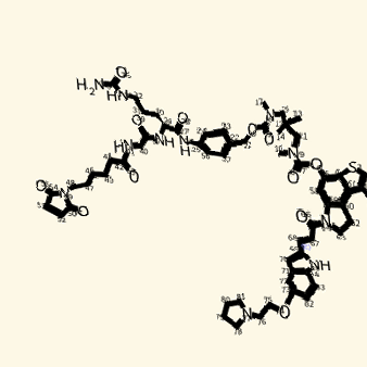 Cc1csc2c(OC(=O)N(C)CC(C)(C)CN(C)C(=O)OCc3ccc(NC(=O)[C@H](CCCNC(N)=O)NC(=O)CNC(=O)CCCCCN4C(=O)C=CC4=O)cc3)cc3c(c12)CCN3C(=O)/C=C/c1cc2cc(OCCN3CCCC3)ccc2[nH]1